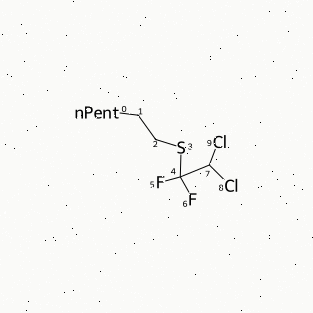 [CH2]CCCCCCSC(F)(F)C(Cl)Cl